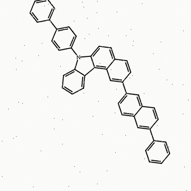 c1ccc(-c2ccc(-n3c4ccccc4c4c5cc(-c6ccc7cc(-c8ccccc8)ccc7c6)ccc5ccc43)cc2)cc1